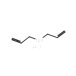 C=C[CH2][Nd][CH2]C=C.Cl